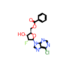 O=C(OC[C@H]1O[C@@H](n2cnc3c(Cl)ncnc32)[C@H](F)[C@@H]1O)c1ccccc1